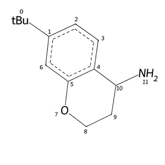 CC(C)(C)c1ccc2c(c1)OCCC2N